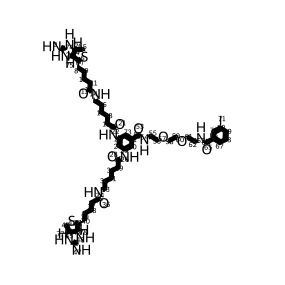 N=C1N[C@H]2[C@H](CS[C@H]2CCCCC(=O)NCCCCCC(=O)Nc2cc(NC(=O)CCCCCNC(=O)CCCC[C@@H]3SC[C@@H]4NC(=N)N[C@@H]43)cc(C(=O)NCCOCCOCCNC(=O)c3cccc(I)c3)c2)N1